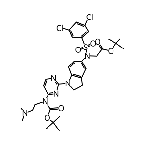 CN(C)CCN(C(=O)OC(C)(C)C)c1ccnc(N2CCc3cc(N(CC(=O)OC(C)(C)C)S(=O)(=O)c4cc(Cl)cc(Cl)c4)ccc32)n1